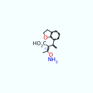 C=C(/C(C(=O)O)=C(/C)ON)c1cccc2c1OCC2